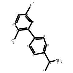 CC(N)c1ccc(-c2cc(F)cnc2Cl)cc1